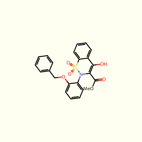 COC(=O)C1=C(O)c2ccccc2S(=O)(=O)N1c1ccccc1OCc1ccccc1